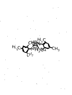 CCCCC(Nc1c(C)cc(C)cc1C)C(CCCC)Nc1c(C)cc(C)cc1C